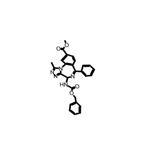 COC(=O)c1ccc2c(c1)-n1c(C)nnc1C(NC(=O)OCc1ccccc1)N=C2c1ccccc1